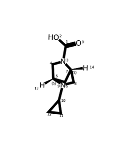 O=C(O)N1C[C@@H]2C[C@H]1CN2C1CC1